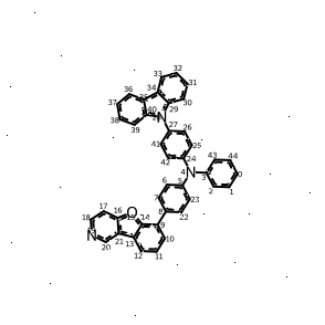 c1ccc(N(c2ccc(-c3cccc4c3oc3ccncc34)cc2)c2ccc(-n3c4ccccc4c4ccccc43)cc2)cc1